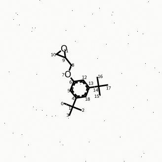 CC(C)(C)c1cc(OCC2CO2)cc(C(C)(C)C)c1